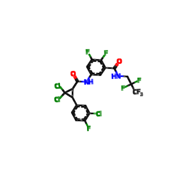 O=C(NCC(F)(F)C(F)(F)F)c1cc(NC(=O)C2C(c3ccc(F)c(Cl)c3)C2(Cl)Cl)cc(F)c1F